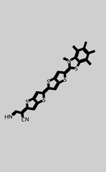 Cc1c(C)c(C)c2c(c1C)S/C(=c1/cc3s/c(=c4\cc5s/c(=C(/C#N)C=N)cc5s4)cc3s1)N2C